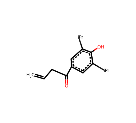 C=CCC(=O)c1cc(C(C)C)c(O)c(C(C)C)c1